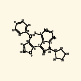 Cc1ncnc2c1c(-c1oncc1Oc1ccccc1)nn2C1CCCC1